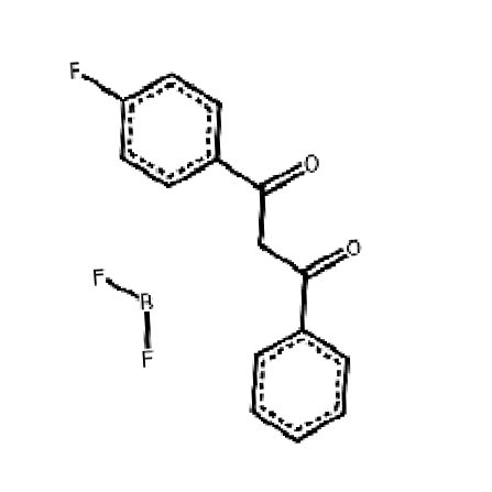 F[B]F.O=C(CC(=O)c1ccc(F)cc1)c1ccccc1